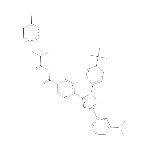 CN(C)c1cccc(-c2cc(-c3ccc(C(=O)NC(=O)C(N)Cc4ccc(O)cc4)cc3)n(-c3ccc(C(C)(C)C)cc3)n2)c1